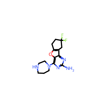 Nc1nc(N2CCCNCC2)c2oc3c(c2n1)CC(F)(F)CC3